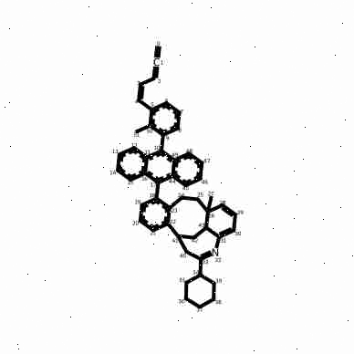 C=C=C/C=C\c1cccc(-c2c3ccccc3c(-c3cccc4c3CCC3(C)C=CC=C5N=C(C6CCCCC6)CC4CC53)c3ccccc23)c1C